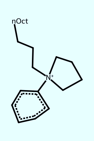 CCCCCCCCCCC[N+]1(c2ccccc2)CCCC1